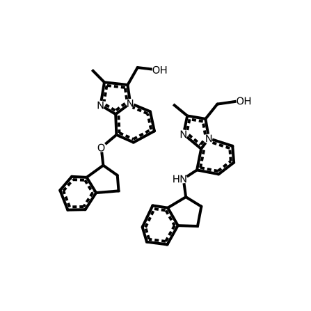 Cc1nc2c(NC3CCc4ccccc43)cccn2c1CO.Cc1nc2c(OC3CCc4ccccc43)cccn2c1CO